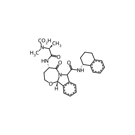 C[C@@H](C(=O)N[C@H]1CCO[C@H]2c3ccccc3C(C(=O)N[C@@H]3CCCc4ccccc43)N2C1=O)N(C)C(=O)O